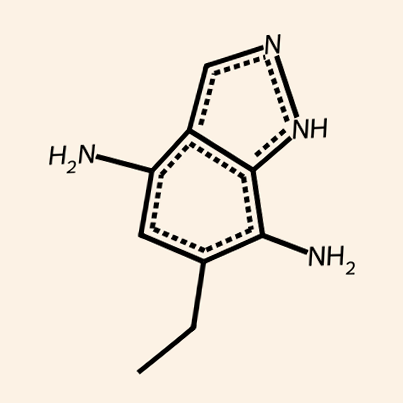 CCc1cc(N)c2cn[nH]c2c1N